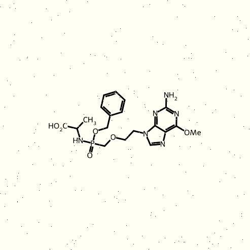 COc1nc(N)nc2c1ncn2CCOCP(=O)(NC(C)C(=O)O)OCc1ccccc1